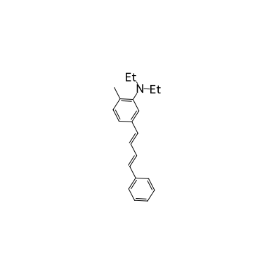 CCN(CC)c1cc(/C=C/C=C/c2ccccc2)ccc1C